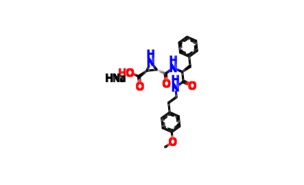 COc1ccc(CCNC(=O)[C@H](Cc2ccccc2)NC(=O)[C@H]2N[C@@H]2C(=O)O)cc1.[NaH]